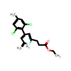 C=C(C)/C=C(\C=C(/F)CCC(=O)OCC)c1c(Cl)cc(C)cc1Cl